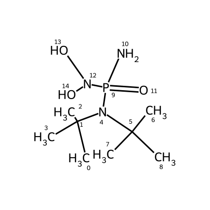 CC(C)(C)N(C(C)(C)C)P(N)(=O)N(O)O